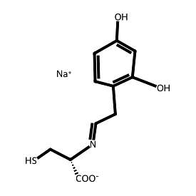 O=C([O-])[C@H](CS)N=CCc1ccc(O)cc1O.[Na+]